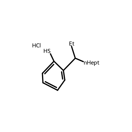 CCCCCCCC(CC)c1ccccc1S.Cl